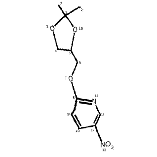 CC1(C)OCC(COc2ccc([N+](=O)[O-])cn2)O1